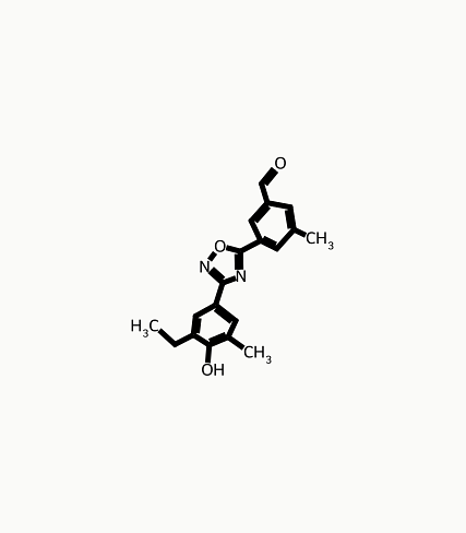 CCc1cc(-c2noc(-c3cc(C)cc(C=O)c3)n2)cc(C)c1O